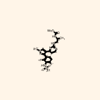 CCS(=O)(=O)Nc1c(F)ccc(-c2nn(C(C)C)cc2-c2ccnc(NCC(C)NC(=O)OC)n2)c1F